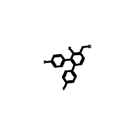 Fc1ccc(-c2ccc(CCl)c(F)c2-c2ccc(F)cc2)cc1